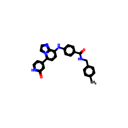 Cc1ccc(CNC(=O)c2ccc(Nc3ccc(-c4cc[nH]c(=O)c4)n4ccnc34)cc2)cc1